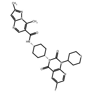 Cc1cc2ncc(C(=O)N[C@H]3CC[C@@H](n4c(=O)c5cc(F)cnc5n(C5CCSCC5)c4=O)CC3)c(C)n2n1